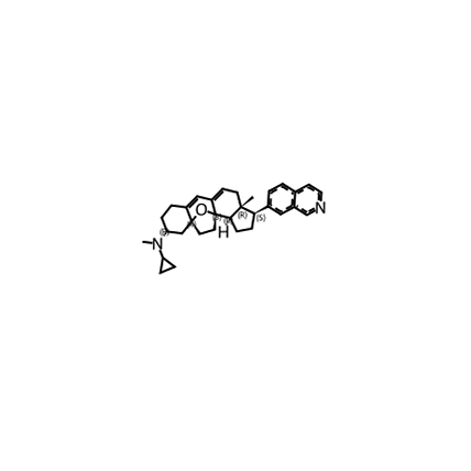 CN(C1CC1)[C@@H]1CCC2=CC3=CC[C@]4(C)[C@@H](c5ccc6ccncc6c5)CC[C@H]4[C@@]34CC[C@]2(C1)O4